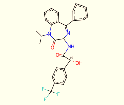 CC(C)N1C(=O)C(NC(=O)[C@H](O)c2ccc(C(F)(F)F)cc2)N=C(c2ccccc2)c2ccccc21